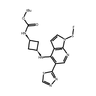 CC(C)(C)OC(=O)N[C@H]1C[C@@H](Nc2c(-c3nncs3)cnc3c2ccn3SF)C1